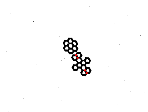 c1cc2ccc3ccc4ccc5ccc6ccc1c1c2c3c4c5c61.c1ccc(-c2c3ccccc3c(-c3ccccc3)c3c(-c4ccccc4)c4ccccc4c(-c4ccccc4)c23)cc1